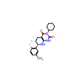 Cc1ccc(F)c([C@@H]2Nc3[nH]c(=O)n(C4CCCCC4)c(=O)c3C[C@H]2F)c1